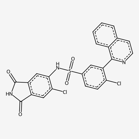 O=C1NC(=O)c2cc(NS(=O)(=O)c3ccc(Cl)c(-c4nccc5ccccc45)c3)c(Cl)cc21